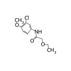 CCOCC(=O)Nc1ccc(OC)c(Cl)c1